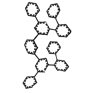 c1ccc(-c2cc(-c3cccc(-c4cc(-c5ccccc5)nc(-c5ccccc5-c5ccccc5)c4)c3)cc(-c3ccccc3-c3ccccc3)n2)cc1